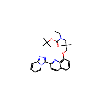 CCN(CC(C)(C)COc1cccc2ccc(-c3nnc4ccccn34)nc12)C(=O)OC(C)(C)C